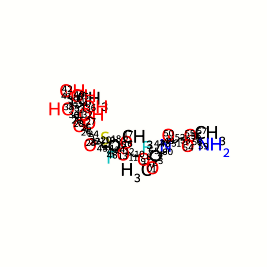 COc1cc2c(c(F)c1OCCCOc1c(OC)cc3sc(C(=O)CCC(=O)OC4=C[C@@]4(O)C([C@@H](C)O)[C@H](O)[C@H](O)CO)cc3c1F)CN(C(=O)CCC(=O)O[C@@H](C)CN)C2